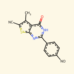 Cc1c(C#N)sc2nc(-c3ccc(N=O)cc3)[nH]c(=O)c12